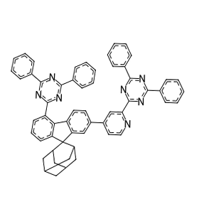 c1ccc(-c2nc(-c3ccccc3)nc(-c3cc(-c4ccc5c(c4)C4(c6cccc(-c7nc(-c8ccccc8)nc(-c8ccccc8)n7)c6-5)C5CC6CC(C5)CC4C6)ccn3)n2)cc1